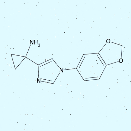 NC1(c2cn(-c3ccc4c(c3)OCO4)cn2)CC1